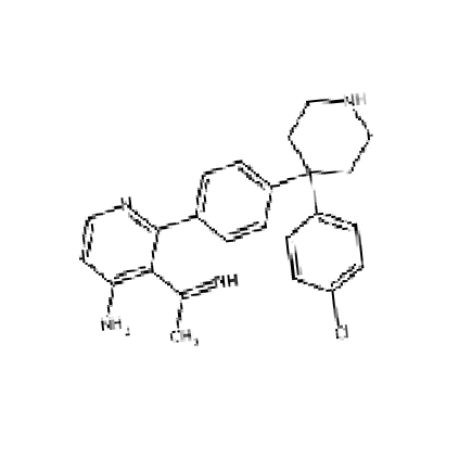 CC(=N)c1c(N)ccnc1-c1ccc(C2(c3ccc(Cl)cc3)CCNCC2)cc1